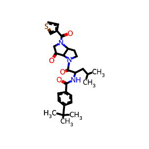 CC(C)CC(NC(=O)c1ccc(C(C)(C)C)cc1)C(=O)N1CCC2C1C(=O)CN2C(=O)c1ccsc1